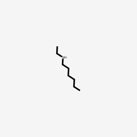 CCCCCC[SiH]CC